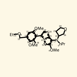 CCCN(c1c(OC)nn2c(-c3c(OC)cc(COCC)cc3OC)csc12)C1CCOC1